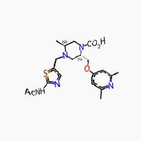 CC(=O)Nc1ncc(CN2C[C@@H](COc3cc(C)nc(C)c3)N(C(=O)O)C[C@@H]2C)s1